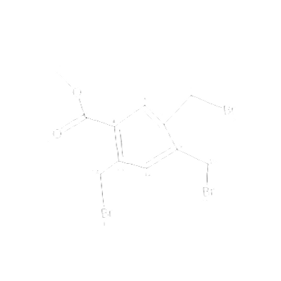 COC(=O)c1cc(CBr)c(CBr)cc1CBr